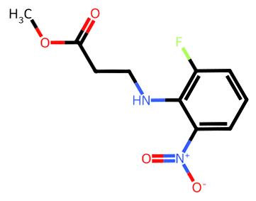 COC(=O)CCNc1c(F)cccc1[N+](=O)[O-]